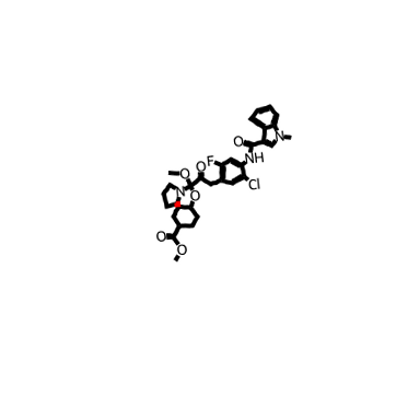 COC(=O)C1CCC(OC(OC)(C(=O)Cc2cc(Cl)c(NC(=O)c3cn(C)c4ccccc34)cc2F)N2CCCC2)CC1